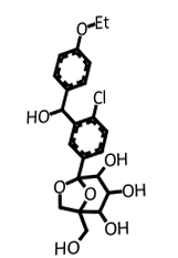 CCOc1ccc(C(O)c2cc(C34OCC(CO)(O3)C(O)C(O)C4O)ccc2Cl)cc1